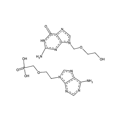 Nc1nc2c(ncn2COCCO)c(=O)[nH]1.Nc1ncnc2c1ncn2CCOCP(=O)(O)O